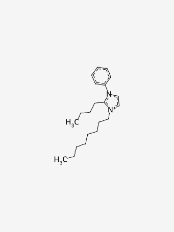 CCCCCCCC[n+]1ccn(-c2ccccc2)c1CCCC